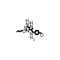 CCCCOc1nc(N)c2[nH]cc(C(N)c3ccc(C=O)cc3)c2n1